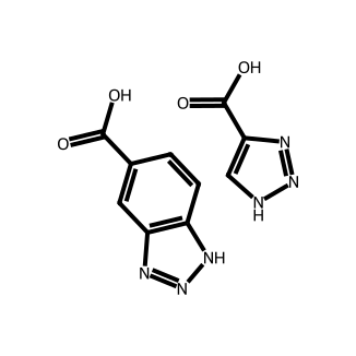 O=C(O)c1c[nH]nn1.O=C(O)c1ccc2[nH]nnc2c1